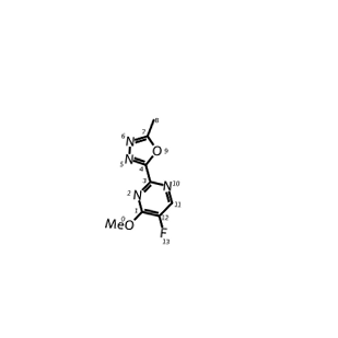 COc1nc(-c2nnc(C)o2)ncc1F